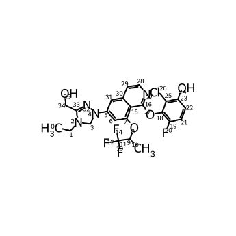 CCN1CN(c2cc(O[C@@H](C)C(F)(F)F)c3c(Oc4c(F)ccc(O)c4Cl)nccc3c2)N=C1CO